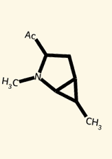 CC(=O)C1CC2C(C)C2N1C